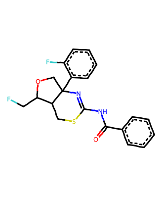 O=C(NC1=NC2(c3ccccc3F)COC(CF)C2CS1)c1ccccc1